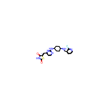 O=C1NC(=O)/C(=C/c2ccnc(NC3CCC(NCc4cccnc4F)CC3)n2)S1